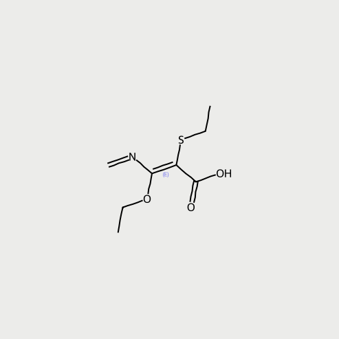 C=N/C(OCC)=C(\SCC)C(=O)O